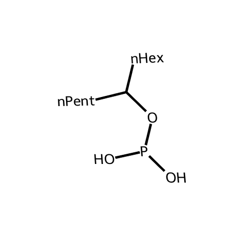 CCCCCCC(CCCCC)OP(O)O